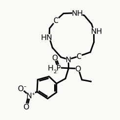 CCOC(Cc1ccc([N+](=O)[O-])cc1)([PH2]=O)N1CCCNCCNCCCNCC1